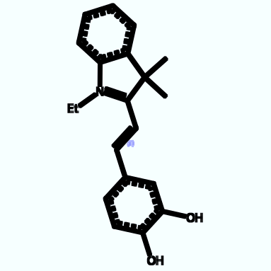 CC[N+]1=C(/C=C/c2ccc(O)c(O)c2)C(C)(C)c2ccccc21